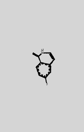 C=C1NC=Cc2cc(F)ccc21